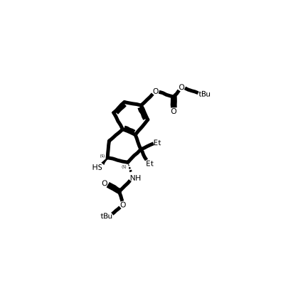 CCC1(CC)c2cc(OC(=O)OC(C)(C)C)ccc2C[C@H](S)[C@H]1NC(=O)OC(C)(C)C